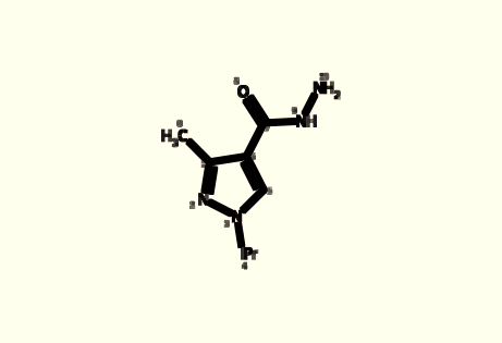 Cc1nn(C(C)C)cc1C(=O)NN